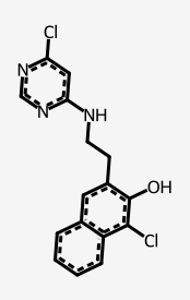 Oc1c(CCNc2cc(Cl)ncn2)cc2ccccc2c1Cl